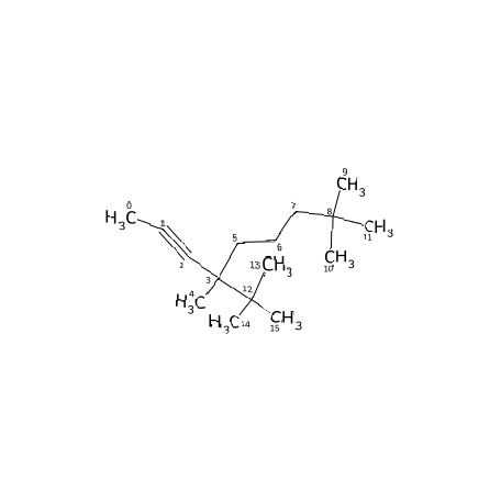 CC#CC(C)(CCCC(C)(C)C)C(C)(C)C